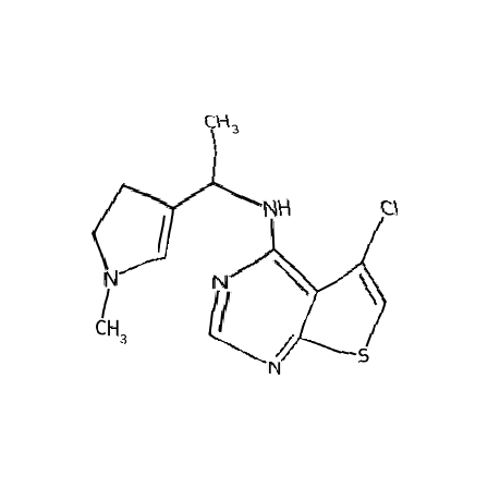 CC(Nc1ncnc2scc(Cl)c12)C1=CN(C)CC1